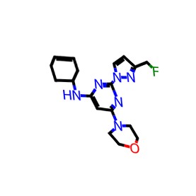 FCc1ccn(-c2nc(NC3CC=CCC3)cc(N3CCOCC3)n2)n1